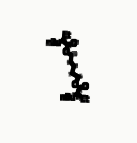 CCCCC(CC)C(=O)OCCCCCOC(=O)C(CC)CCCC